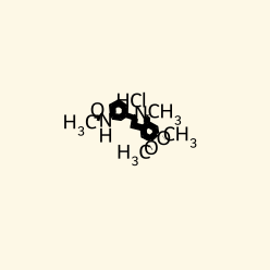 COc1cc2cc(-c3cccc(NC(C)=O)c3)nc(C)c2cc1OC.Cl